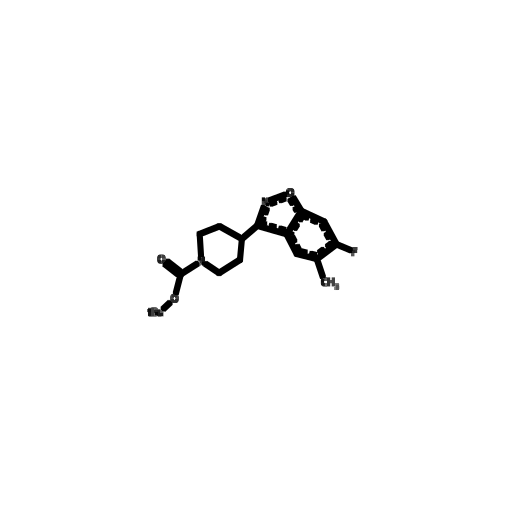 Cc1cc2c(C3CCN(C(=O)OC(C)(C)C)CC3)noc2cc1F